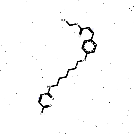 CCOC(=O)/C=C\c1ccc(OCCCCCCNC(=O)/C=C\C(=O)O)cc1